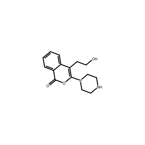 O=c1oc(N2CCNCC2)c(CCO)c2ccccc12